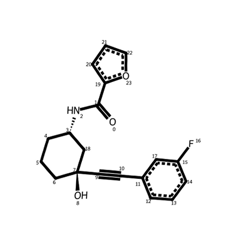 O=C(N[C@H]1CCC[C@@](O)(C#Cc2cccc(F)c2)C1)c1ccco1